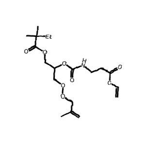 C=COC(=O)CCNC(=O)OC(COOCC(=C)C)COC(=O)C(C)(C)CC